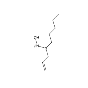 C=CCN(CCCCC)NO